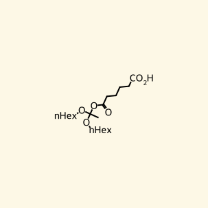 CCCCCCOC(C)(OCCCCCC)OC(=O)CCCCC(=O)O